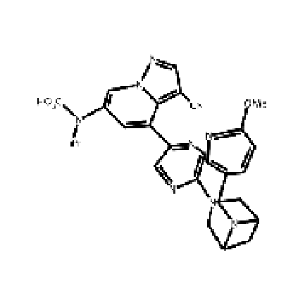 COc1ccc(CN2C3CC2CN(c2cnc(-c4cc(N(C(=O)O)C(C)C)cn5ncc(C#N)c45)cn2)C3)cn1